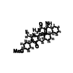 BC(=O)NC(=N)c1ccccc1-c1ccc(Cc2c(CCC)nc(CF)n(-c3ccc(OC)cc3)c2=O)cc1